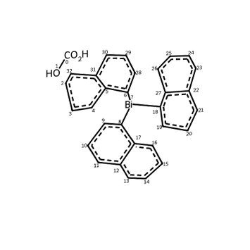 O=C(O)O.c1ccc2[c]([Bi]([c]3cccc4ccccc34)[c]3cccc4ccccc34)cccc2c1